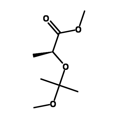 COC(=O)[C@H](C)OC(C)(C)OC